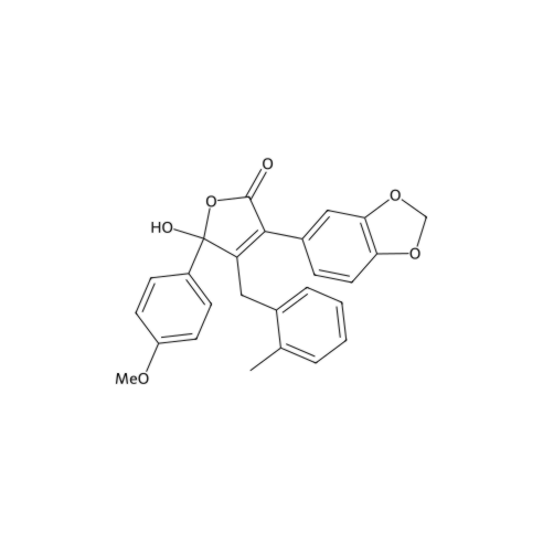 COc1ccc(C2(O)OC(=O)C(c3ccc4c(c3)OCO4)=C2Cc2ccccc2C)cc1